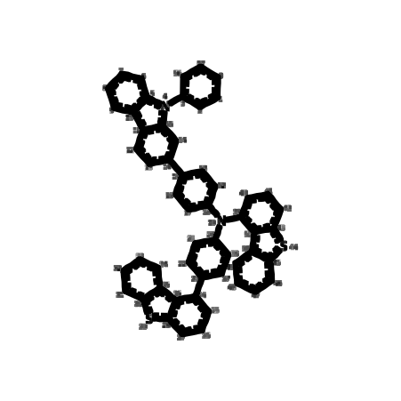 c1ccc(-n2c3ccccc3c3ccc(-c4ccc(N(c5ccc(-c6cccc7sc8ccccc8c67)cc5)c5cccc6sc7ccccc7c56)cc4)cc32)cc1